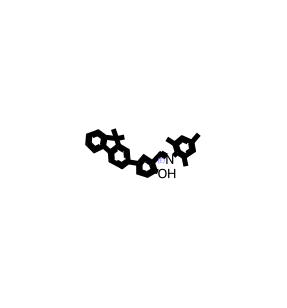 Cc1cc(C)c(/N=C/c2cc(-c3ccc4c(c3)C(C)(C)c3ccccc3-4)ccc2O)c(C)c1